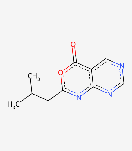 CC(C)Cc1nc2ncncc2c(=O)o1